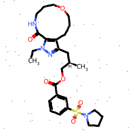 CCn1nc(C[C@@H](C)COC(=O)c2cccc(S(=O)(=O)N3CCCC3)c2)c2c1C(=O)NCCCOCCC2